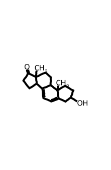 CC12CCC3C(=CC=C4CC(O)CCC43C)C1CCC2=O